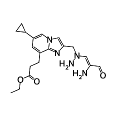 CCOC(=O)CCc1cc(C2CC2)cn2cc(CN(N)/C=C(\N)C=O)nc12